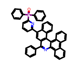 O=P(c1ccccc1)(c1ccccc1)c1cccc(-c2cc3c(-c4ccccc4)nc4c5ccccc5c5ccccc5c4c3c3ccccc23)n1